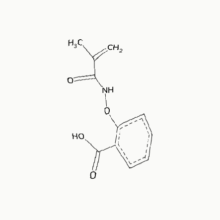 C=C(C)C(=O)NOc1ccccc1C(=O)O